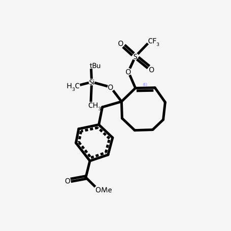 COC(=O)c1ccc(CC2(O[Si](C)(C)C(C)(C)C)CCCCC/C=C\2OS(=O)(=O)C(F)(F)F)cc1